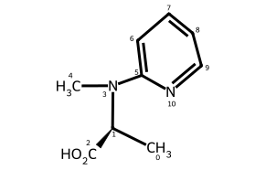 C[C@@H](C(=O)O)N(C)c1ccccn1